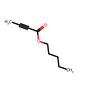 CC#CC(=O)OCCCCC